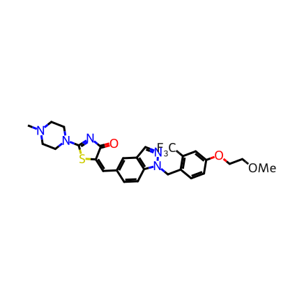 COCCOc1ccc(Cn2ncc3cc(C=C4SC(N5CCN(C)CC5)=NC4=O)ccc32)c(C(F)(F)F)c1